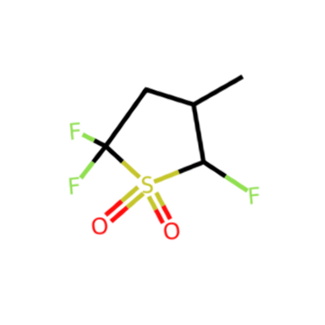 CC1CC(F)(F)S(=O)(=O)C1F